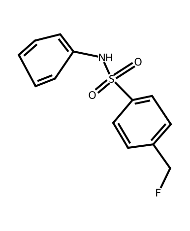 O=S(=O)(Nc1ccccc1)c1ccc(CF)cc1